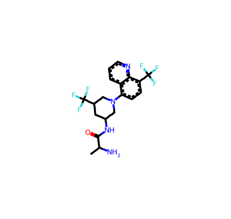 CC(N)C(=O)NC1CC(C(F)(F)F)CN(c2ccc(C(F)(F)F)c3ncccc23)C1